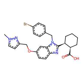 Cn1ccc(COc2ccc3nc([C@H]4CCCC[C@H]4C(=O)O)n(Cc4ccc(Br)cc4)c3c2)n1